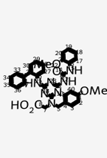 COc1ccc(CN(CC(=O)O)c2nc(NC(=O)Nc3ccccc3OC)nc(Nc3ccccc3-c3ccccc3)n2)cc1